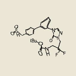 CC(C)(C)OC(=O)NCC(Cn1ncn(-c2cccc(-c3ccc(C[SH](=O)=O)cc3)c2)c1=O)=C(F)F